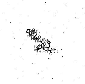 CN(C[C@@H](NC(=O)N[C@H](C(=O)N1C[C@H]2[C@@H]([C@H]1C(=O)NC(CC1CCC1)C(=O)C(N)=O)C2(C)C)C(C)(C)C)C(C)(C)C)S(=O)(=O)N1CCCC1